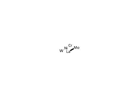 [Cr].[Mo][La].[Ni].[W]